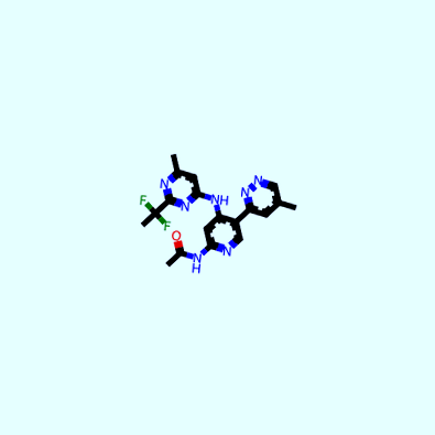 CC(=O)Nc1cc(Nc2cc(C)nc(C(C)(F)F)n2)c(-c2cc(C)cnn2)cn1